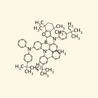 Cc1cc2c3c(c1)N(c1ccc(C(C)(C)C)cc1)c1c(oc4c1C(C)(C)CCC4(C)C)B3c1ccc(N(c3ccccc3)c3ccc(C(C)(C)C)cc3)cc1N2c1ccc(C(C)(C)C)cc1-c1ccccc1